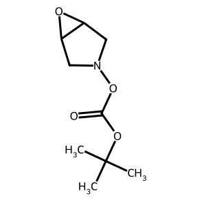 CC(C)(C)OC(=O)ON1CC2OC2C1